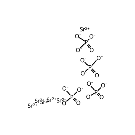 O=P([O-])([O-])[O-].O=P([O-])([O-])[O-].O=P([O-])([O-])[O-].O=P([O-])([O-])[O-].[Sr+2].[Sr+2].[Sr+2].[Sr+2].[Sr+2].[Sr+2]